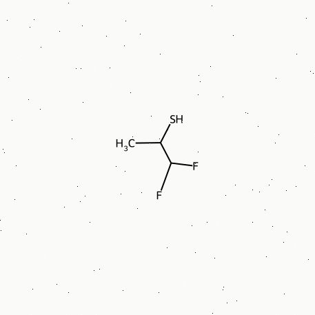 CC(S)C(F)F